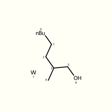 CCCCCCC(C)CO.[W]